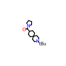 CC(C)(C)N1CCC2(CCC(C(=O)N3CCCC3)CC2)CC1